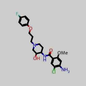 COc1cc(N)c(Cl)cc1C(=O)NC1CCN(CCCOc2ccc(F)cc2)CC1O